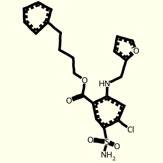 NS(=O)(=O)c1cc(C(=O)OCCCCc2ccccc2)c(NCc2ccco2)cc1Cl